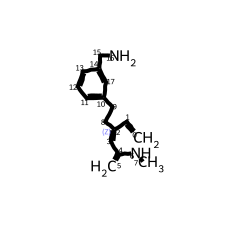 C=C/C(=C\C(=C)NC)CCc1cccc(CN)c1